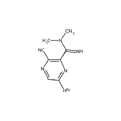 CCCc1cnc(C#N)c(C(=N)N(C)C)n1